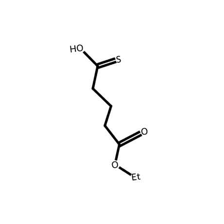 CCOC(=O)CCCC(O)=S